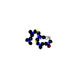 N#Cc1ccc(-c2cc(-c3ccc4sc5ccc(-n6c7ccccc7c7cc(-c8ccc9c(c8)c8ccccc8n9-c8ccccc8)ccc76)cc5c4c3)nc(-c3ccc4sc5ccc(-n6c7ccccc7c7cc(-c8ccc9c(c8)c8ccccc8n9-c8ccccc8)ccc76)cc5c4c3)n2)cc1